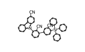 N#Cc1ccc2c(c1)c1ccccc1n2-c1cccc(-c2ccc([Si](c3ccccc3)(c3ccccc3)c3ccccc3)c(C#N)c2)c1C#N